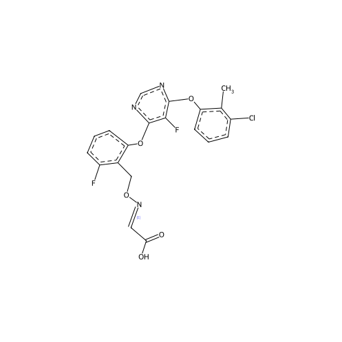 Cc1c(Cl)cccc1Oc1ncnc(Oc2cccc(F)c2CO/N=C/C(=O)O)c1F